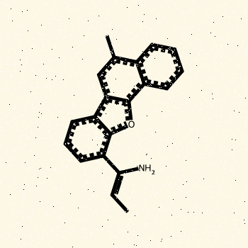 C/C=C(\N)c1cccc2c1oc1c3ccccc3c(C)cc21